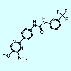 COc1cnc(-c2ccc(NC(=O)Nc3cccc(C(F)(F)F)c3)cc2)nc1N